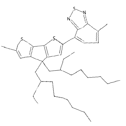 CCCCCCC(CC)CC1(CC(CC)CCCCCC)c2cc(C)sc2-c2sc(-c3ccc(C)c4nsnc34)cc21